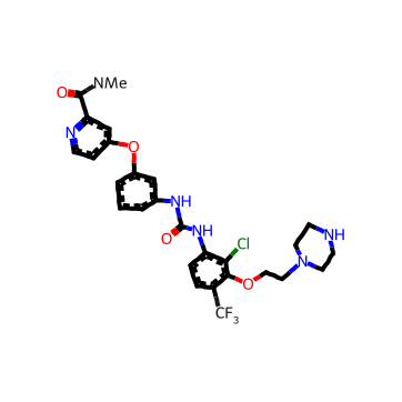 CNC(=O)c1cc(Oc2cccc(NC(=O)Nc3ccc(C(F)(F)F)c(OCCN4CCNCC4)c3Cl)c2)ccn1